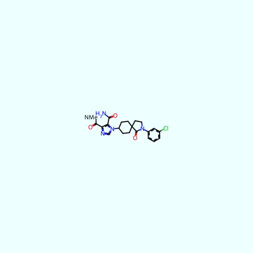 CNC(=O)c1ncn(C2CCC3(CC2)CCN(c2cccc(Cl)c2)C3=O)c1C(N)=O